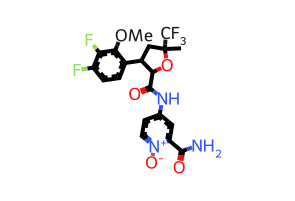 COc1c(C2CC(C)(C(F)(F)F)OC2C(=O)Nc2cc[n+]([O-])c(C(N)=O)c2)ccc(F)c1F